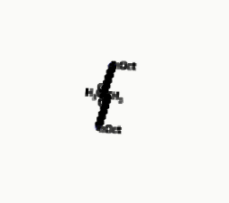 CCCCCCCC/C=C\CCCCCCCC(=O)CN(C)ON(C)CC(=O)CCCCCCC/C=C\CCCCCCCC